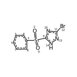 O=S(=O)(c1ccccc1)c1nc(Br)n[nH]1